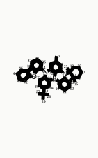 Cc1cc2c3c(c1)N1c4c(cccc4C4(C)CCCCC14C)B3c1cc(C(C)(C)C)ccc1N2c1cccc2c1oc1ccccc12